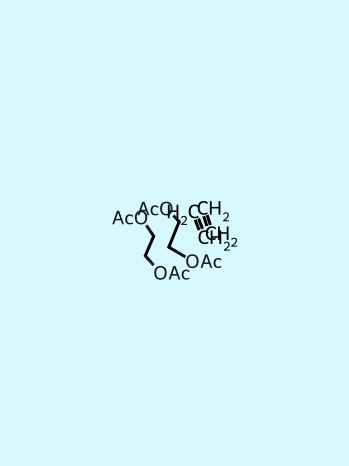 C=C.C=C.CC(=O)OCCOC(C)=O.CC(=O)OCCOC(C)=O